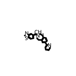 C[C@H](c1ccc2scnc2c1)N1CCc2ccc(-c3ccccn3)cc2CC1